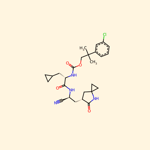 CC(C)(COC(=O)N[C@@H](CC1CC1)C(=O)N[C@H](C#N)C[C@@H]1CC2(CC2)NC1=O)c1cccc(Cl)c1